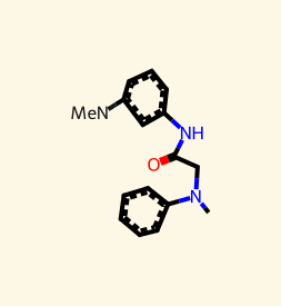 CNc1cccc(NC(=O)CN(C)c2ccccc2)c1